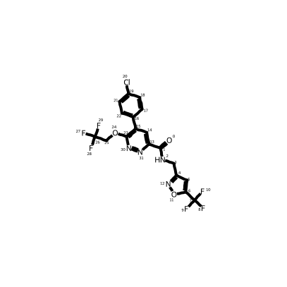 O=C(NCc1cc(C(F)(F)F)on1)c1cc(-c2ccc(Cl)cc2)c(OCC(F)(F)F)nn1